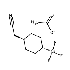 CC(=O)[O-].N#CC[C@H]1CC[C@H]([N+](F)(F)F)CC1